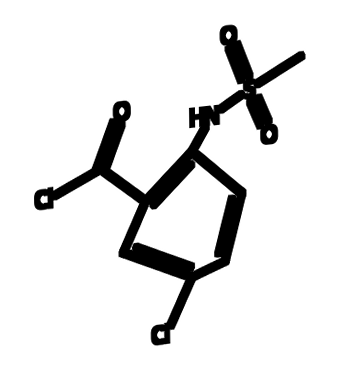 CS(=O)(=O)Nc1ccc(Cl)cc1C(=O)Cl